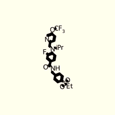 CCS(=O)(=O)c1ccc(CNC(=O)c2ccc(N(Cc3ccc(OC(F)(F)F)cn3)C(C)C)c(F)c2)cc1